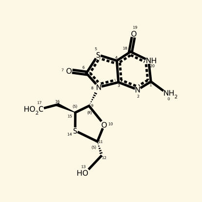 Nc1nc2c(sc(=O)n2[C@@H]2O[C@H](CO)S[C@H]2CC(=O)O)c(=O)[nH]1